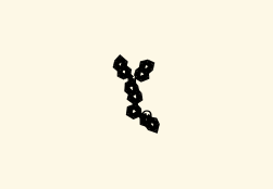 c1cc(-c2ccc3cc(N(c4ccc5ccccc5c4)c4ccc5ccccc5c4)ccc3c2)cc(-c2cc3ccccc3o2)c1